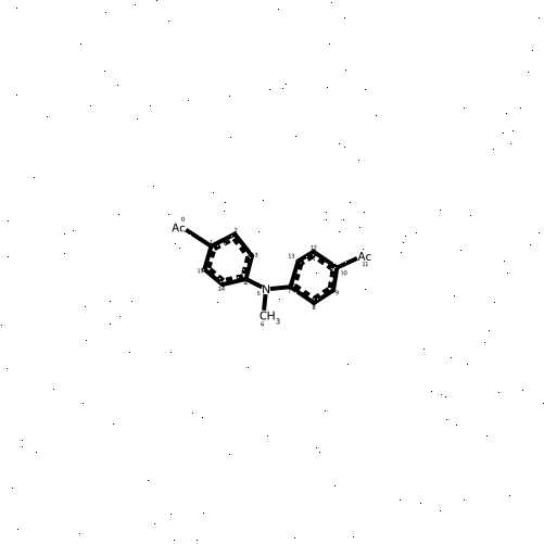 CC(=O)c1ccc(N(C)c2ccc(C(C)=O)cc2)cc1